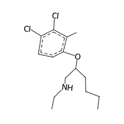 CCCCC(CNCC)Oc1ccc(Cl)c(Cl)c1C